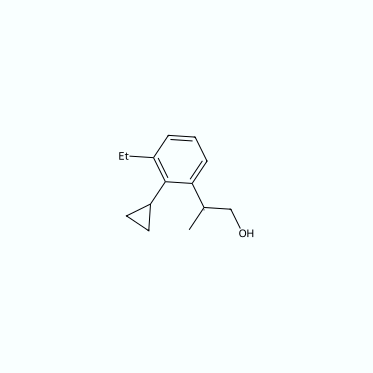 CCc1cccc([C](C)CO)c1C1CC1